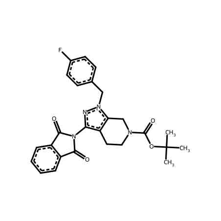 CC(C)(C)OC(=O)N1CCc2c(N3C(=O)c4ccccc4C3=O)nn(Cc3ccc(F)cc3)c2C1